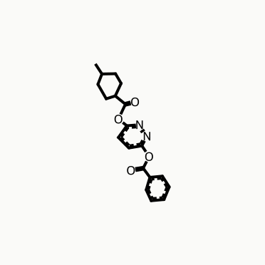 CC1CCC(C(=O)Oc2ccc(OC(=O)c3ccccc3)nn2)CC1